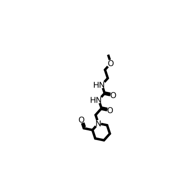 COCCNC(=O)NC(=O)CN1CCCCC1C=O